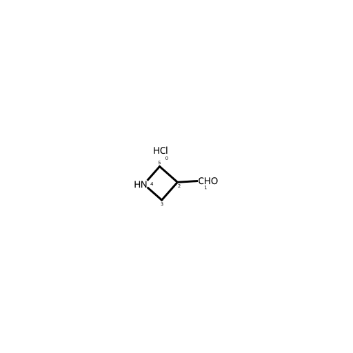 Cl.O=CC1CNC1